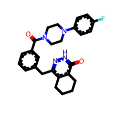 O=C(c1cccc(Cc2n[nH]c(=O)c3c2CCCC3)c1)N1CCN(c2ccc(F)cc2)CC1